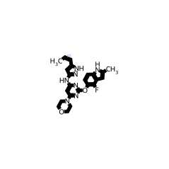 C/C=C\c1cc(Nc2cc(N3CCOCC3)nc(Oc3ccc4[nH]c(C)cc4c3F)n2)n[nH]1